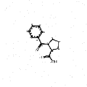 O=C(O)C1CCCC1C(=O)c1ccccc1